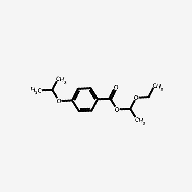 CCOC(C)OC(=O)c1ccc(OC(C)C)cc1